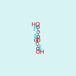 O=C(Oc1ccc(C2CC=C(c3ccc(O)c(F)c3F)CC2)c(F)c1F)C1CCC(c2ccc(O)c(F)c2F)CC1